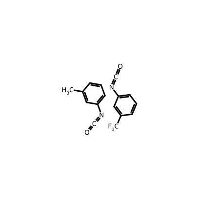 Cc1cccc(N=C=O)c1.O=C=Nc1cccc(C(F)(F)F)c1